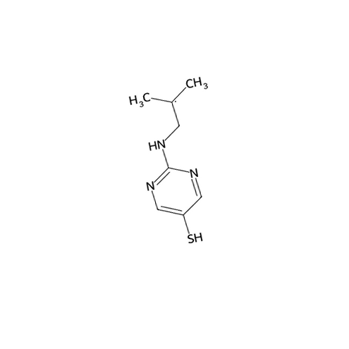 C[C](C)CNc1ncc(S)cn1